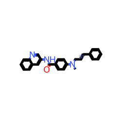 CN(C/C=C/c1ccccc1)c1ccc(C(=O)Nc2cnc3ccccc3c2)cc1